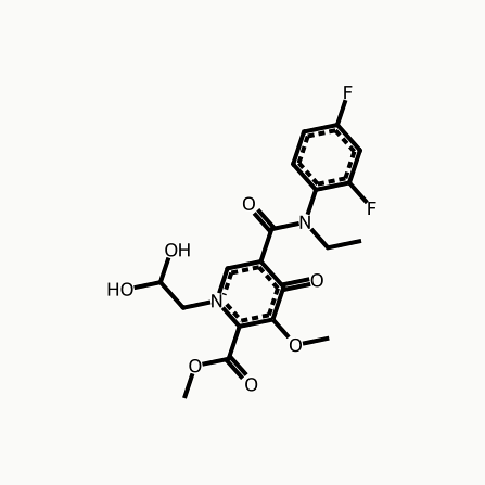 CCN(C(=O)c1cn(CC(O)O)c(C(=O)OC)c(OC)c1=O)c1ccc(F)cc1F